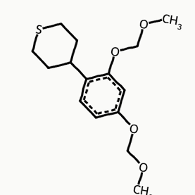 COCOc1ccc(C2CCSCC2)c(OCOC)c1